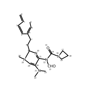 C=C/C=C\C(=C/C)CCC1N=C(N(C=O)C(=O)N2CCC2)C(N(C)C)=CN1C